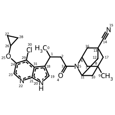 CC(CC(=O)N1C2CC3(C)CC1CC(C#N)(C2)C3)c1c[nH]c2ncc(OC3CC3)c(Cl)c12